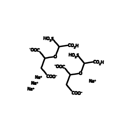 O=C([O-])CC(OC(C(=O)O)S(=O)(=O)O)C(=O)[O-].O=C([O-])CC(OC(C(=O)O)S(=O)(=O)O)C(=O)[O-].[Na+].[Na+].[Na+].[Na+]